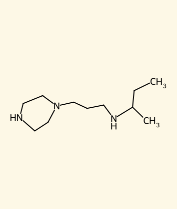 CCC(C)NCCCN1CCNCC1